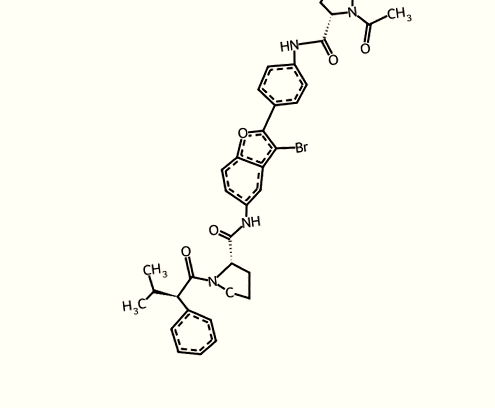 CC(=O)N1CCC[C@H]1C(=O)Nc1ccc(-c2oc3ccc(NC(=O)[C@@H]4CCCN4C(=O)[C@@H](c4ccccc4)C(C)C)cc3c2Br)cc1